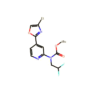 [CH2]Cc1coc(-c2ccnc(N(CC(F)F)C(=O)OC(C)(C)C)c2)n1